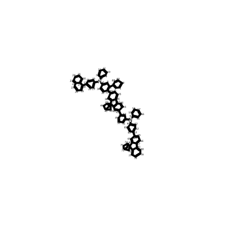 c1ccc(-c2cc(N(c3ccccc3)c3ccc(-c4cccc5ccccc45)cc3)ccc2-c2ccc3c(c2)C2(CC4CC2C4)c2cc(-c4cccc(N(c5ccccc5)c5ccc(-c6ccc7c(c6)C6(CC8CC6C8)c6ccccc6-7)cc5)c4)ccc2-3)cc1